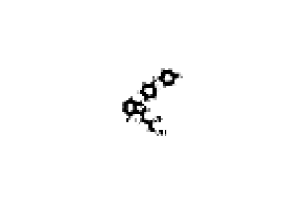 O=C(O)c1cccc2c1c(CC(O)CO)cn2-c1ccc(Oc2ccc(F)cc2)cc1